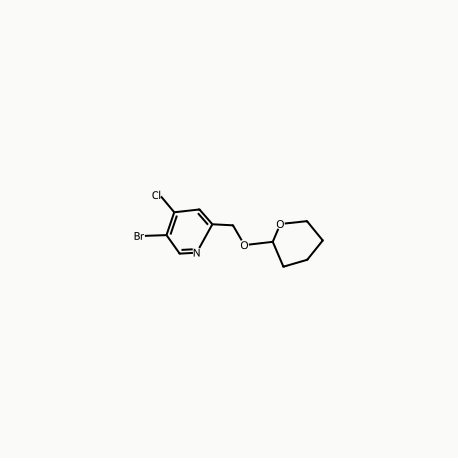 Clc1cc(COC2CCCCO2)ncc1Br